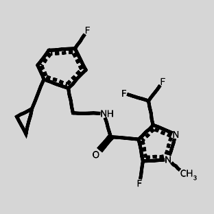 Cn1nc(C(F)F)c(C(=O)NCc2cc(F)ccc2C2CC2)c1F